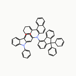 C1=CCC(C2(c3ccccc3)c3ccccc3-c3c(N(c4ccc5c6ccccc6n(-c6ccccc6)c5c4)c4ccc5ccccc5c4C4=CCCC=C4)cccc32)C=C1